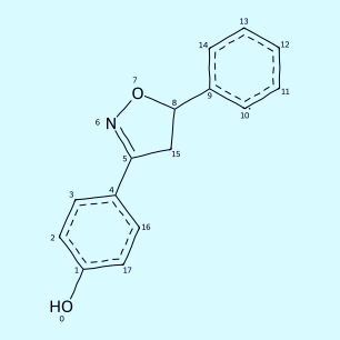 Oc1ccc(C2=NOC(c3[c]cccc3)C2)cc1